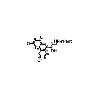 CCCCCNCCC(O)c1cc2c(Cl)cc(Cl)cc2c2cc(C(F)(F)F)ccc12